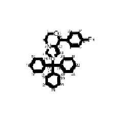 Fc1ccc(C2OCCN3CN(C(c4ccccc4)(c4ccccc4)c4ccccc4)C=C23)cc1